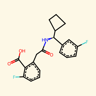 O=C(Cc1cccc(F)c1C(=O)O)N[C@H](c1cccc(F)c1)C1CCC1